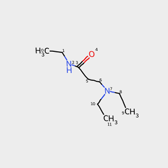 CCNC(=O)CCN(CC)CC